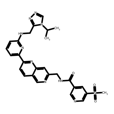 CC(C)n1cnnc1CNc1cccc(-c2ccc3cnc(CNC(=O)c4cncc(S(C)(=O)=O)c4)cc3n2)n1